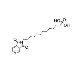 O=C1c2ccccc2C(=O)N1CCCCCCCCCCCCP(=O)(O)O